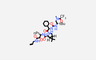 C=CCNC(=O)C(=O)C(CCC)NC(=O)[C@@H]1[C@@H]2[C@H](CN1C(=O)[C@@H](NC(=O)N[C@H](CN(C)C(=O)C(F)(F)F)C(C)(C)C)C1CCCCC1)C2(C)C